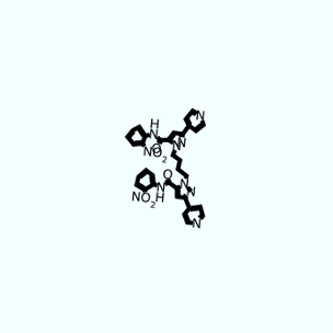 O=C(Nc1ccccc1[N+](=O)[O-])c1cc(-c2ccncc2)nn1CCCCn1nc(-c2ccncc2)cc1C(=O)Nc1ccccc1[N+](=O)[O-]